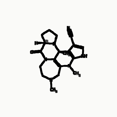 CN1CCN2C(=O)[C@@H]3CCCN3C3(C)C2=C(C1)N(C)c1[nH]cc(C#N)c13